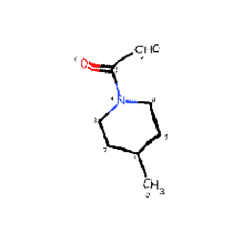 CC1CCN(C(=O)C=O)CC1